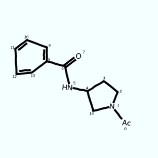 CC(=O)N1CCC(NC(=O)c2ccccc2)C1